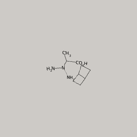 C1CC2CCC12.CC(C(=O)O)N(N)N